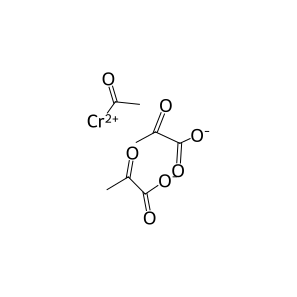 CC(=O)C(=O)[O-].CC(=O)C(=O)[O-].C[C](=O)[Cr+2]